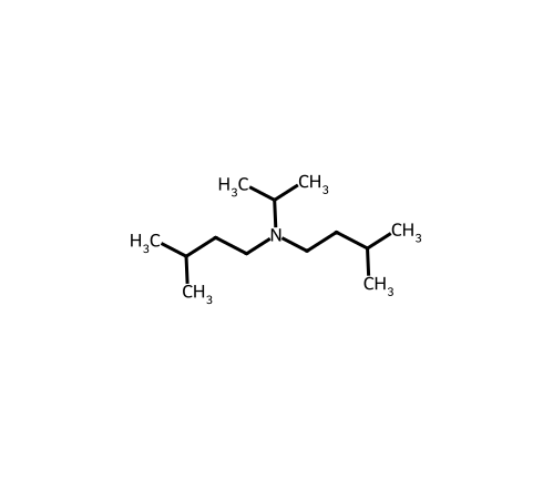 CC(C)CCN(CCC(C)C)C(C)C